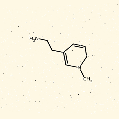 CN1C=C(CCN)C=CC1